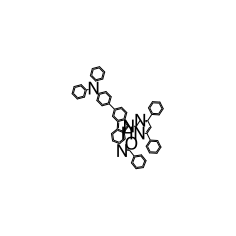 C1=C(c2ccccc2)NC(n2c3ccc(-c4ccc(N(c5ccccc5)c5ccccc5)cc4)cc3c3ccc4nc(-c5ccccc5)oc4c32)N=C1c1ccccc1